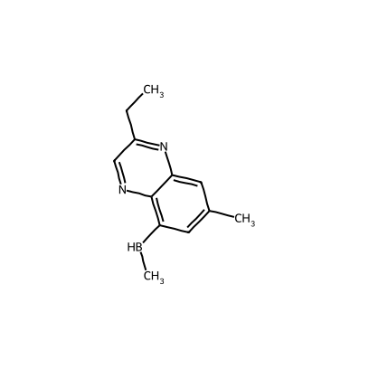 CBc1cc(C)cc2nc(CC)cnc12